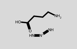 N=[N+]=N.NCCCC(=O)O